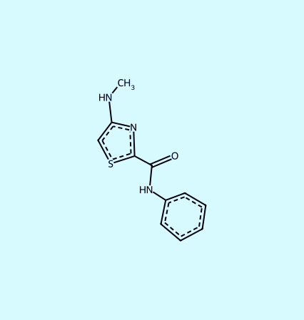 CNc1csc(C(=O)Nc2ccccc2)n1